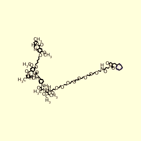 COc1cc2c(cc1OCCCCCOc1cc3c(cc1OC)C(=O)N1C=C(C)C[C@H]1[C@H](O)N3C(=O)OCc1ccc(NC(=O)C(C)NC(=O)[C@@H](NC(=O)CCOCCOCCOCCOCCOCCOCCOCCOCCNC(=O)CCN3C(=O)CC(CC4=C/C=C\C=C/C=C\4)C3=O)C(C)C)cc1)N=C[C@@H]1CC(C)=CN1C2=O